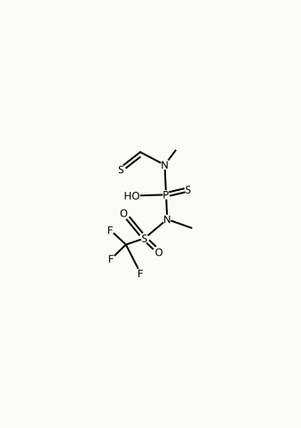 CN(C=S)P(O)(=S)N(C)S(=O)(=O)C(F)(F)F